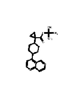 CC(C)(C)OC(=O)C1(C2CCC(c3ccnc4ccncc34)CC2)CC1